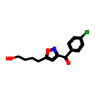 O=C(c1ccc(Cl)cc1)c1cc(CCCCO)on1